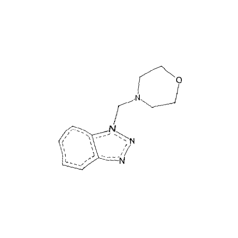 c1ccc2c(c1)nnn2CN1CCOCC1